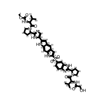 COC(=O)NC(C(=O)N1CCCC1c1ncc(-c2cc3cc4cc(S(=O)(=O)c5ccc6nc(C7CCCN7C(=O)C(NC(=O)CO)C(C)C)[nH]c6c5)[nH]c4cc3[nH]2)[nH]1)C(C)C